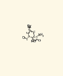 NCC(=O)O.O=Cc1cc(Br)ccc1O